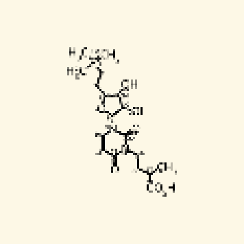 C=P(C)(C)CCC1O[C@@H](n2ccc(=O)n(CCC(C)C(=O)O)c2=O)[C@H](O)[C@@H]1O